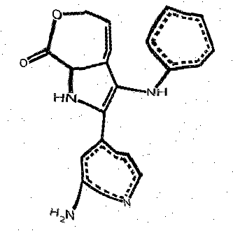 Nc1cc(C2=C(Nc3ccccc3)C3=CCOC(=O)C3N2)ccn1